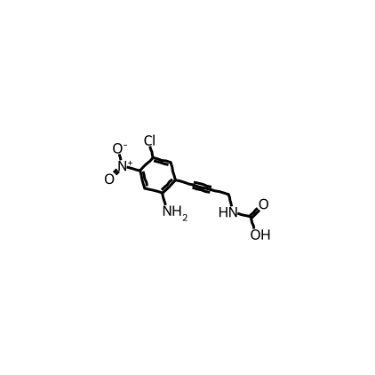 Nc1cc([N+](=O)[O-])c(Cl)cc1C#CCNC(=O)O